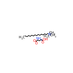 CCCCCCCCCCCCCCCC[N+](C)(C)C.N[C@@H](CCC(=O)O)C(=O)[O-]